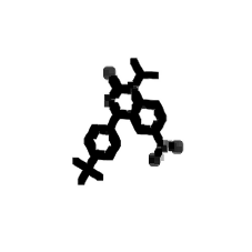 CC(C)n1c(=O)nc(-c2ccc(C(C)(C)C)cc2)c2cc([N+](=O)[O-])ccc21